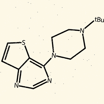 CC(C)(C)N1CCN(c2ncnc3ccsc23)CC1